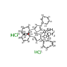 Cl.Cl.[CH3][Zr]([CH3])(=[SiH2])([C]1=C(c2ccccc2)C=C(c2ccccc2)C1)[C]1=C(c2ccccc2)C=C(c2ccccc2)C1